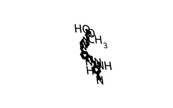 CC(CC(=O)O)N1CCN(Cc2ccc3[nH]c(-c4n[nH]c5cc(C#N)ccc45)cc3c2)CC1